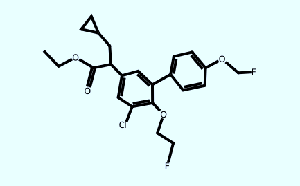 CCOC(=O)C(CC1CC1)c1cc(Cl)c(OCCF)c(-c2ccc(OCF)cc2)c1